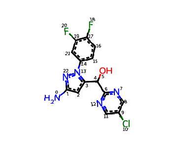 Nc1cc(C(O)c2ncc(Cl)cn2)n(-c2ccc(F)c(F)c2)n1